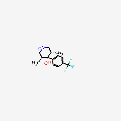 C[C@@H]1CNC[C@H](C)[C@@]1(O)c1ccc(C(F)(F)F)cc1